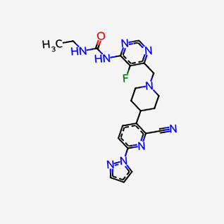 CCNC(=O)Nc1ncnc(CN2CCC(c3ccc(-n4cccn4)nc3C#N)CC2)c1F